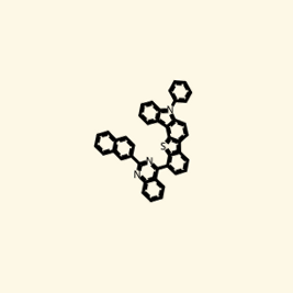 c1ccc(-n2c3ccccc3c3c4sc5c(-c6nc(-c7ccc8ccccc8c7)nc7ccccc67)cccc5c4ccc32)cc1